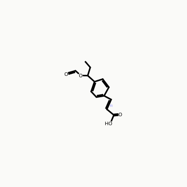 CCC(OC=O)c1ccc(/C=C/C(=O)O)cc1